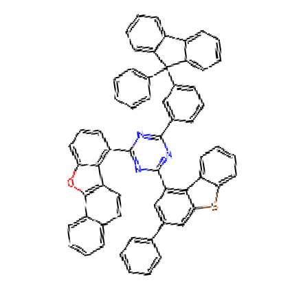 c1ccc(-c2cc(-c3nc(-c4cccc(C5(c6ccccc6)c6ccccc6-c6ccccc65)c4)nc(-c4cccc5oc6c7ccccc7ccc6c45)n3)c3c(c2)sc2ccccc23)cc1